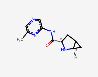 O=C(Nc1cncc(C(F)(F)F)n1)[C@@H]1CC2C[C@H]2N1